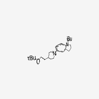 CCC(C)N1CCCc2cc(N3CCC(CCOC(C)(C)C)CC3)ccc21